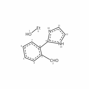 CCO.O=Cc1ccccc1-c1ncc[nH]1